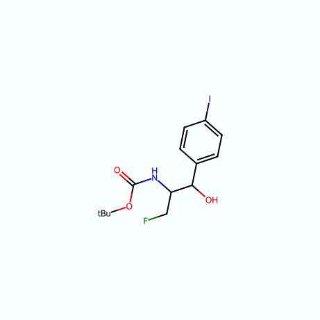 CC(C)(C)OC(=O)NC(CF)C(O)c1ccc(I)cc1